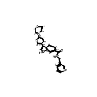 O=C(NCc1cccnc1)c1ccc2c(-c3ccc(N4CCOCC4)nc3)c[nH]c2c1